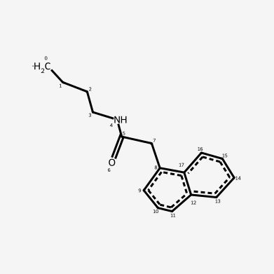 [CH2]CCCNC(=O)Cc1cccc2ccccc12